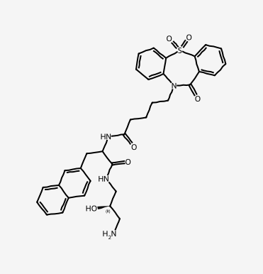 NC[C@@H](O)CNC(=O)C(Cc1ccc2ccccc2c1)NC(=O)CCCCN1C(=O)c2ccccc2S(=O)(=O)c2ccccc21